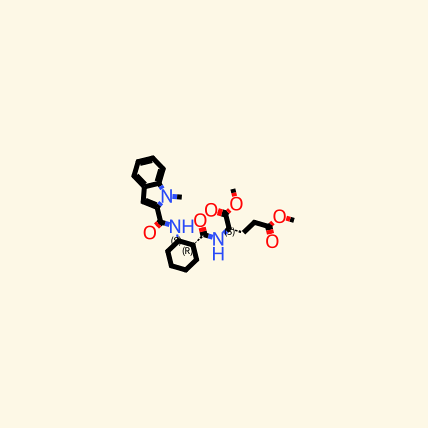 COC(=O)CC[C@H](NC(=O)[C@@H]1CCCC[C@@H]1NC(=O)c1cc2ccccc2n1C)C(=O)OC